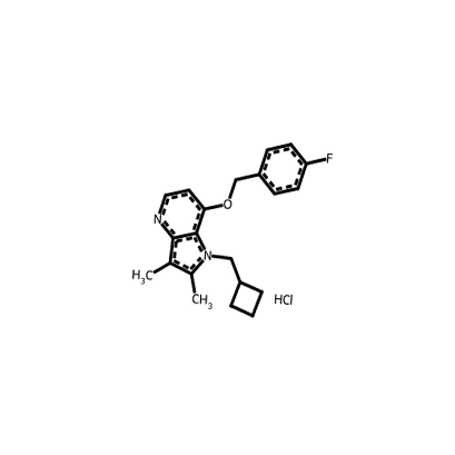 Cc1c(C)n(CC2CCC2)c2c(OCc3ccc(F)cc3)ccnc12.Cl